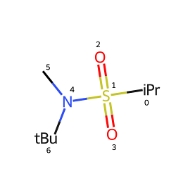 CC(C)S(=O)(=O)N(C)C(C)(C)C